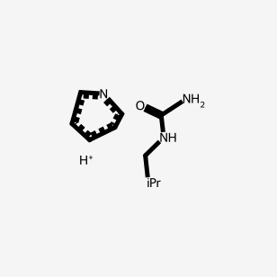 [CH2]C(C)CNC(N)=O.[H+].c1ccncc1